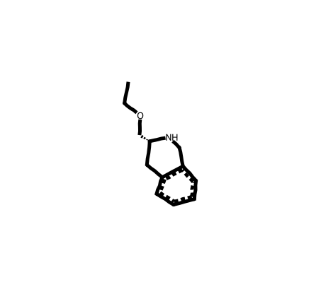 CCOC[C@H]1Cc2ccccc2CN1